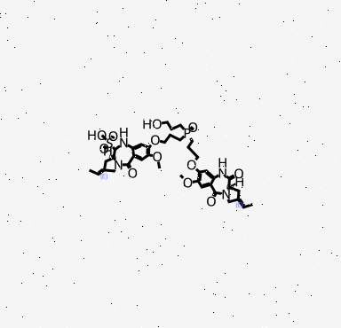 C/C=C1\C[C@H]2C(=O)Nc3cc(OCCCP(=O)(CCCO)CCCOc4cc5c(cc4OC)C(=O)N4C/C(=C/C)C[C@H]4C(S(=O)(=O)O)N5)c(OC)cc3C(=O)N2C1